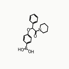 O=C(C(Oc1ccc(B(O)O)cc1)c1ccccc1)N1CCCCC1